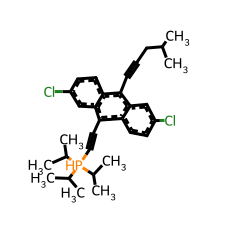 CC(C)CC#Cc1c2ccc(Cl)cc2c(C#C[PH](C(C)C)(C(C)C)C(C)C)c2ccc(Cl)cc12